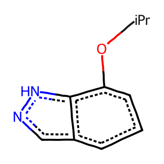 CC(C)Oc1cccc2cn[nH]c12